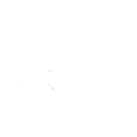 CC(C)=CCC/C(C)=C\CN(CC(C)C)C(=O)C(C)(C)C